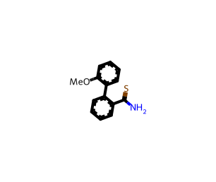 COc1ccccc1-c1ccccc1C(N)=S